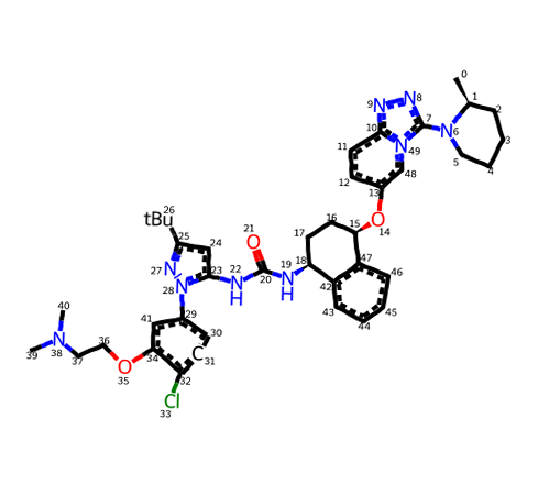 C[C@H]1CCCCN1c1nnc2ccc(O[C@@H]3CC[C@H](NC(=O)Nc4cc(C(C)(C)C)nn4-c4ccc(Cl)c(OCCN(C)C)c4)c4ccccc43)cn12